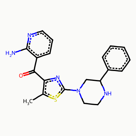 Cc1sc(N2CCNC(c3ccccc3)C2)nc1C(=O)c1cccnc1N